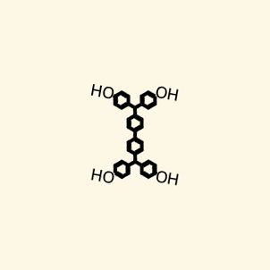 Oc1ccc(C(c2ccc(O)cc2)c2ccc(-c3ccc(C(c4ccc(O)cc4)c4ccc(O)cc4)cc3)cc2)cc1